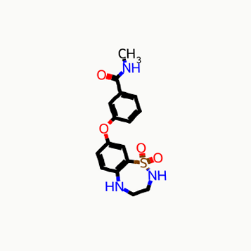 CNC(=O)c1cccc(Oc2ccc3c(c2)S(=O)(=O)NCCN3)c1